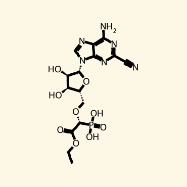 CCOC(=O)[C@H](OC[C@H]1O[C@@H](n2cnc3c(N)nc(C#N)nc32)[C@H](O)[C@@H]1O)P(=O)(O)O